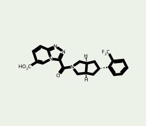 O=C(O)c1ccc2nnc(C(=O)N3C[C@H]4C[C@H](c5ccccc5C(F)(F)F)C[C@H]4C3)n2c1